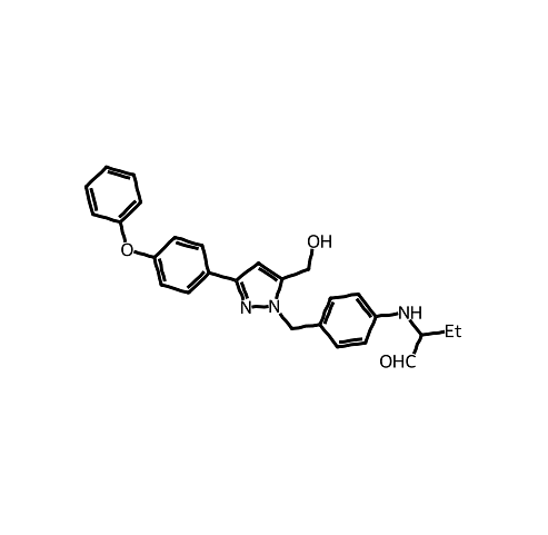 CCC(C=O)Nc1ccc(Cn2nc(-c3ccc(Oc4ccccc4)cc3)cc2CO)cc1